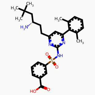 Cc1cccc(C)c1-c1cc(CC[C@H](N)CC(C)(C)C)nc(NS(=O)(=O)c2cccc(C(=O)O)c2)n1